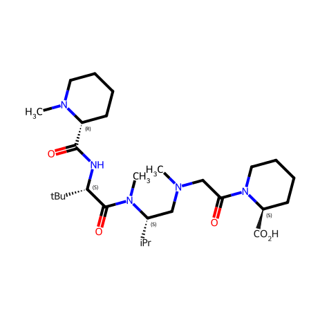 CC(C)[C@@H](CN(C)CC(=O)N1CCCC[C@H]1C(=O)O)N(C)C(=O)[C@@H](NC(=O)[C@H]1CCCCN1C)C(C)(C)C